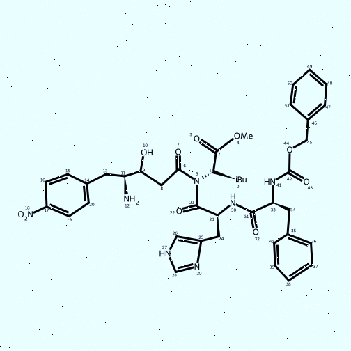 CC[C@H](C)[C@@H](C(=O)OC)N(C(=O)CC(O)[C@@H](N)Cc1ccc([N+](=O)[O-])cc1)C(=O)[C@H](Cc1c[nH]cn1)NC(=O)[C@H](Cc1ccccc1)NC(=O)OCc1ccccc1